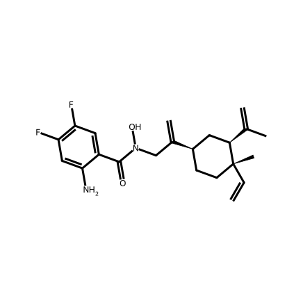 C=C[C@]1(C)CC[C@@H](C(=C)CN(O)C(=O)c2cc(F)c(F)cc2N)C[C@H]1C(=C)C